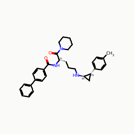 Cc1ccc([C@@H]2C[C@H]2NCCC[C@H](NC(=O)c2ccc(-c3ccccc3)cc2)C(=O)N2CCCCC2)cc1